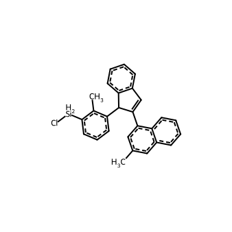 Cc1cc(C2=Cc3ccccc3C2c2cccc([SiH2]Cl)c2C)c2ccccc2c1